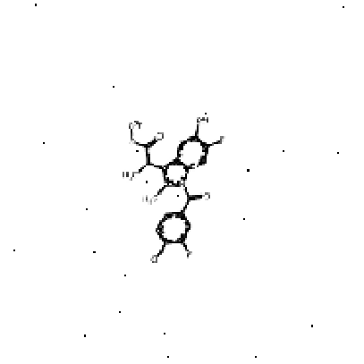 CCCOC(=O)[C@H](C)c1c(C)n(C(=O)c2ccc(Cl)c(F)c2)c2cc(F)c(O)cc12